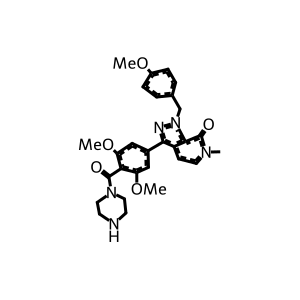 COc1ccc(Cn2nc(-c3cc(OC)c(C(=O)N4CCNCC4)c(OC)c3)c3ccn(C)c(=O)c32)cc1